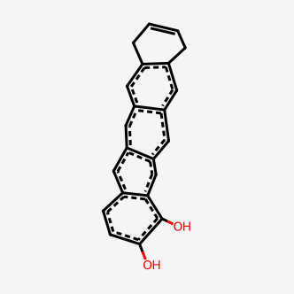 Oc1ccc2cc3cc4cc5c(cc4cc3cc2c1O)CC=CC5